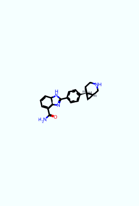 NC(=O)C1=CC=CC2NC(c3ccc([C@@]45CCNC[C@@H]4C5)cc3)=NC12